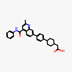 Cc1cc(C(=O)Nc2ccccc2)c2ccc(-c3ccc(C4CCC(CC(=O)O)CC4)cc3)cc2n1